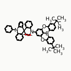 CC(C)(C)c1ccc2c(c1)Oc1cc(N3c4ccccc4C4(c5ccccc5N(c5ccccc5)c5ccccc54)c4ccccc43)cc3c1B2c1ccc(C(C)(C)C)cc1O3